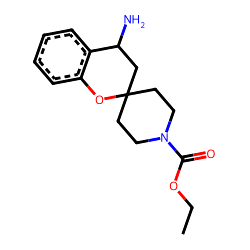 CCOC(=O)N1CCC2(CC1)CC(N)c1ccccc1O2